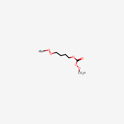 CC(C)(C)OOCCCCOC(=O)OOC(=O)O